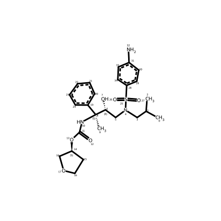 CC(C)CN(C[C@@H](O)[C@@](C)(NC(=O)O[C@H]1CCOC1)c1ccccc1)S(=O)(=O)c1ccc(N)cc1